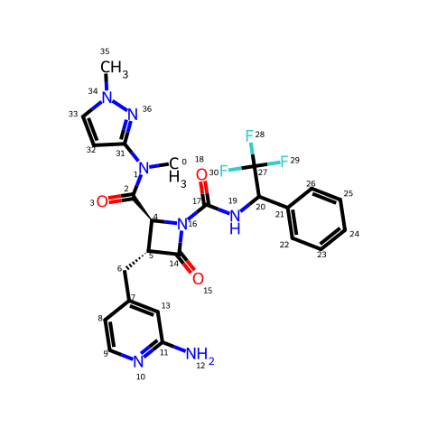 CN(C(=O)[C@@H]1[C@@H](Cc2ccnc(N)c2)C(=O)N1C(=O)NC(c1ccccc1)C(F)(F)F)c1ccn(C)n1